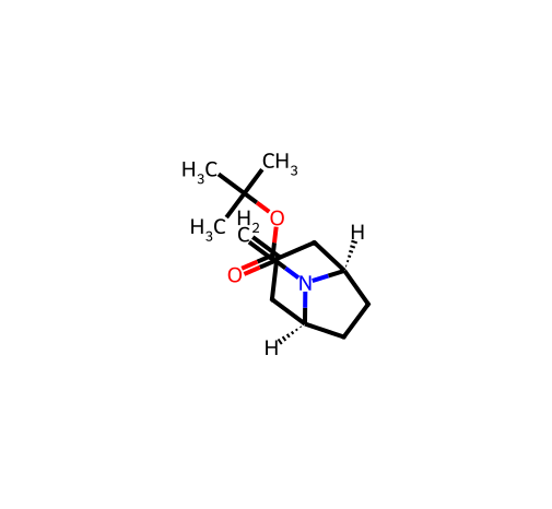 C=C1C[C@H]2CC[C@@H](C1)N2C(=O)OC(C)(C)C